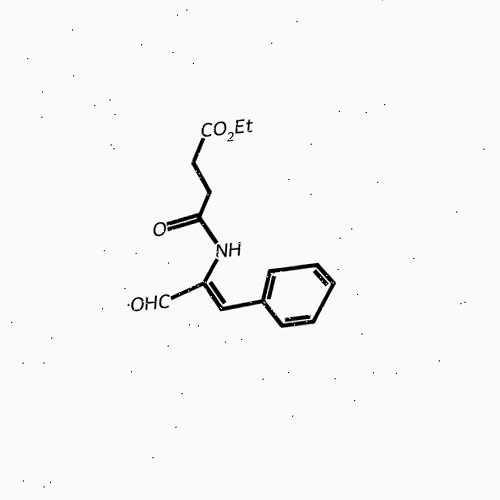 CCOC(=O)CCC(=O)NC([C]=O)=Cc1ccccc1